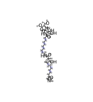 COC(=O)C(C(C)OC)N(C)C(=O)C(O)(CO)NC(=O)/C=C/C=C/C=C/C=C\CNC(=O)C(C)(C)C(O)\C(C)=C/C=C\C=C\Cc1cnco1